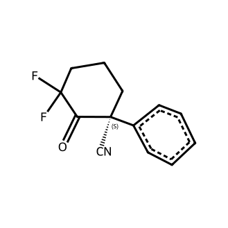 N#C[C@@]1(c2ccccc2)CCCC(F)(F)C1=O